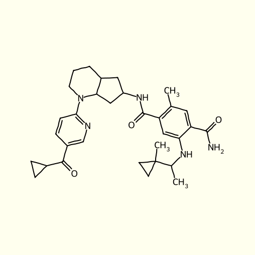 Cc1cc(C(N)=O)c(NC(C)C2(C)CC2)cc1C(=O)NC1CC2CCCN(c3ccc(C(=O)C4CC4)cn3)C2C1